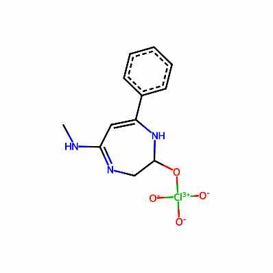 CNC1=NCC(O[Cl+3]([O-])([O-])[O-])NC(c2ccccc2)=C1